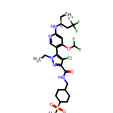 CC[C@@H](CC(F)(F)F)Nc1cc(OC(F)F)c(-c2c(Cl)c(C(=O)NCC3CCC(S(C)(=O)=O)CC3)nn2CC)cn1